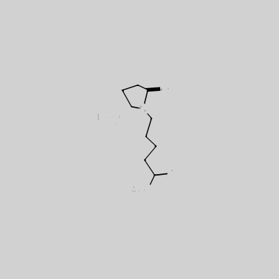 CC(=O)OC(CCCCN1C(=O)CC[C@H]1C(=O)O)C(C)=O